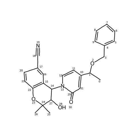 CC(OCc1ccccc1)c1ccn(C2c3cc(C#N)ccc3OC(C)(C)C2O)c(=O)c1